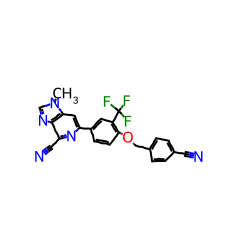 Cn1cnc2c(C#N)nc(-c3ccc(OCc4ccc(C#N)cc4)c(C(F)(F)F)c3)cc21